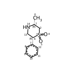 C[C@@H]1CS(=O)(=O)[C@H](c2ccccc2)CN1